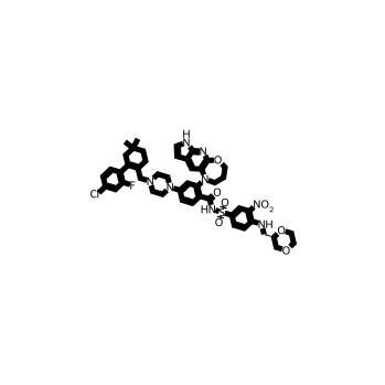 CC1(C)CCC(CN2CCN(c3ccc(C(=O)NS(=O)(=O)c4ccc(NC[C@H]5COCCO5)c([N+](=O)[O-])c4)c(N4CCCOc5nc6[nH]ccc6cc54)c3)CC2)=C(c2ccc(Cl)cc2F)C1